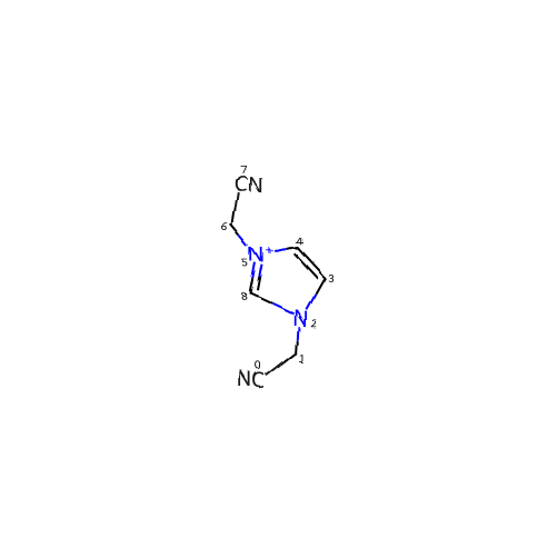 N#CCn1cc[n+](CC#N)c1